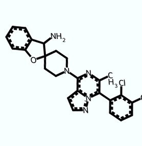 Cc1nc(N2CCC3(CC2)Oc2ccccc2C3N)c2ccnn2c1-c1cccc(Cl)c1Cl